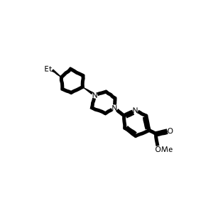 CC[C@H]1CC[C@@H](N2CCN(c3ccc(C(=O)OC)cn3)CC2)CC1